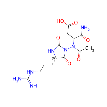 CC(=O)N(C(CC(=O)O)C(N)=O)N1C(=O)N[C@@H](CCCNC(=N)N)C1=O